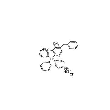 Cc1c(Cc2ccccc2)ccc([P+](c2ccccc2)(c2ccccc2)c2ccccc2)c1C.Cl.N.[Cl-]